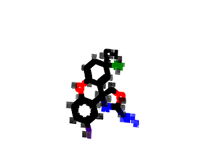 CC1(Br)C=C2C(=CC1)Oc1ccc(I)cc1[C@]21COC(N)=N1